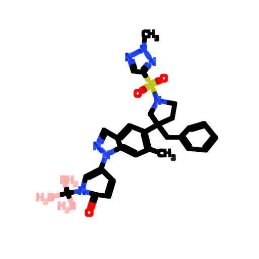 BC(B)(B)n1cc(-n2ncc3cc(C4(Cc5ccccc5)CCN(S(=O)(=O)c5cnn(C)n5)C4)c(C)cc32)ccc1=O